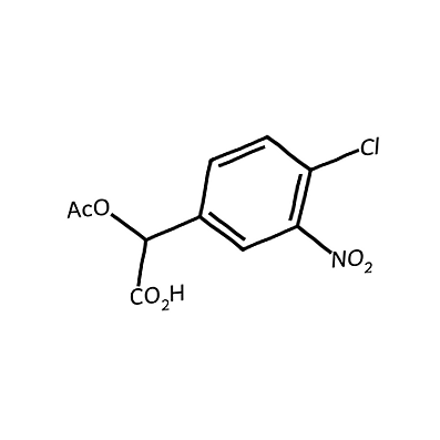 CC(=O)OC(C(=O)O)c1ccc(Cl)c([N+](=O)[O-])c1